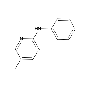 Ic1cnc(Nc2ccccc2)nc1